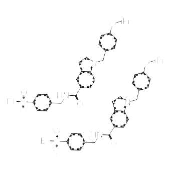 CCS(=O)(=O)c1ccc(CNC(=O)c2ccc3c(ccn3Cc3ccc(OC(C)C)cc3)c2)cc1.CCS(=O)(=O)c1ccc(CNC(=O)c2ccc3c(ccn3Cc3ccc(OC(C)C)cc3)c2)cc1